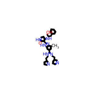 Cc1cc(C(=NCCc2cccnc2)NCCc2cccnc2)cc2[nH]c(-c3c(NC(CO)Cc4ccccc4)cc[nH]c3=O)nc12